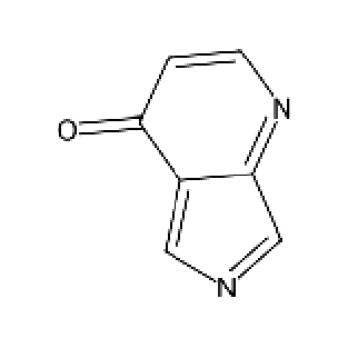 O=C1C=CN=C2C=NC=C12